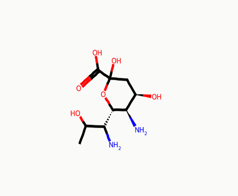 CC(O)C(N)[C@@H]1OC(O)(C(=O)O)C[C@@H](O)[C@H]1N